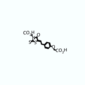 O=C(O)COc1ccc(CC=C2SC(=S)N(CC(=O)O)C2=O)cc1